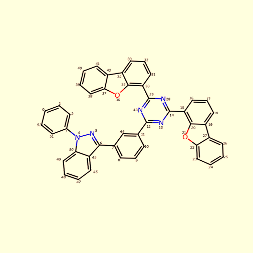 c1ccc(-n2nc(-c3cccc(-c4nc(-c5cccc6c5oc5ccccc56)nc(-c5cccc6c5oc5ccccc56)n4)c3)c3ccccc32)cc1